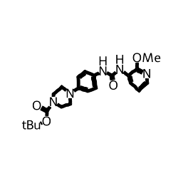 COc1ncccc1NC(=O)Nc1ccc(N2CCN(C(=O)OC(C)(C)C)CC2)cc1